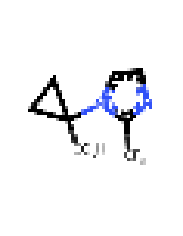 O=C(O)C1(n2ccnc2C(F)(F)F)CC1